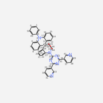 c1ccc(N2c3ccccc3[Si]3(c4ccccc42)c2ccccc2N(c2nc(-c4cccnc4)nc(-c4cccnc4)n2)c2ccccc23)cc1